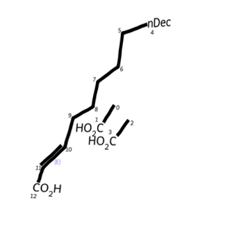 CC(=O)O.CC(=O)O.CCCCCCCCCCCCCCC/C=C/C(=O)O